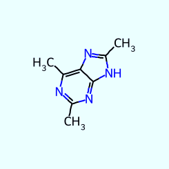 Cc1nc(C)c2nc(C)[nH]c2n1